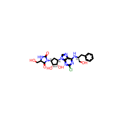 O=C1NC(CO)C(=O)N1[C@H]1C[C@@H](n2cnc3c(N[C@H](CO)Cc4ccccc4)nc(Cl)nc32)[C@H](O)[C@@H]1O